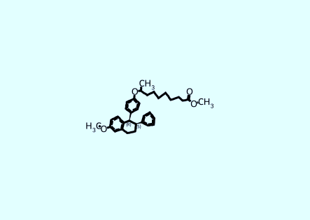 COC(=O)CCCCCCCC(C)Oc1ccc([C@@H]2c3ccc(OC)cc3CC[C@@H]2c2ccccc2)cc1